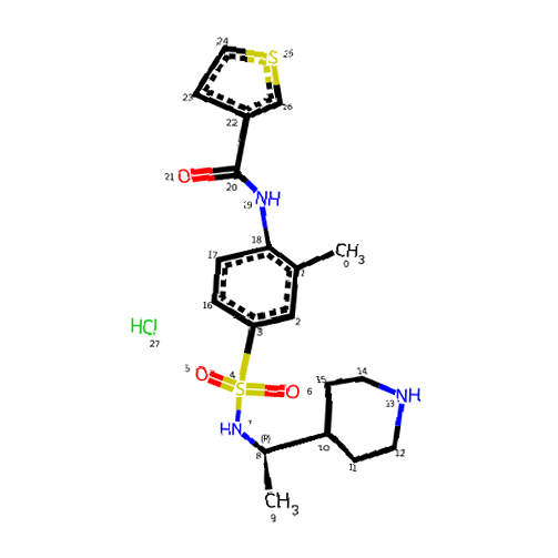 Cc1cc(S(=O)(=O)N[C@H](C)C2CCNCC2)ccc1NC(=O)c1ccsc1.Cl